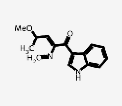 C=N/C(=C\C(C)OC)C(=O)c1c[nH]c2ccccc12